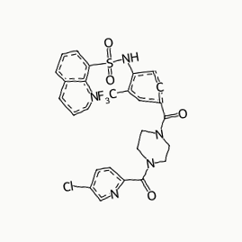 O=C(c1ccc(NS(=O)(=O)c2cccc3cccnc23)c(C(F)(F)F)c1)N1CCN(C(=O)c2ccc(Cl)cn2)CC1